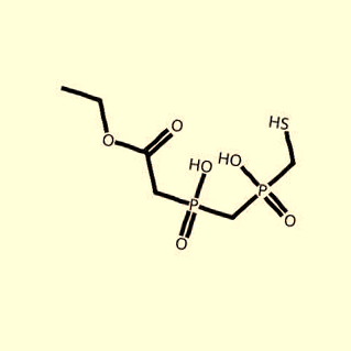 CCOC(=O)CP(=O)(O)CP(=O)(O)CS